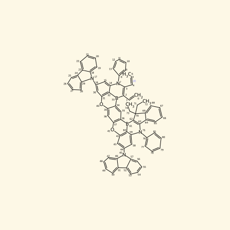 C=CC1=C(/C=C\C)N(c2ccccc2)c2cc(-n3c4ccccc4c4ccccc43)cc3c2B1c1cc2c(cc1O3)Oc1cc(-n3c4ccccc4c4ccccc43)cc3c1B2C1=C(c2ccccc2C1(CC)CC)N3c1ccccc1